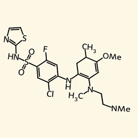 CNCCN(C)C1=C(Nc2cc(F)c(S(=O)(=O)Nc3nccs3)cc2Cl)CC(C)C(OC)=C1